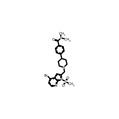 CN(C)C(=O)c1ccc(C2CCN(Cc3cc4c(Br)ccnc4n3S(C)(=O)=O)CC2)cc1